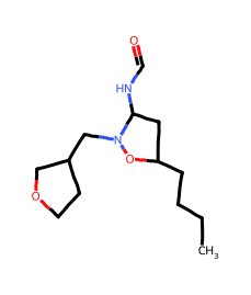 CCCCC1CC(NC=O)N(CC2CCOC2)O1